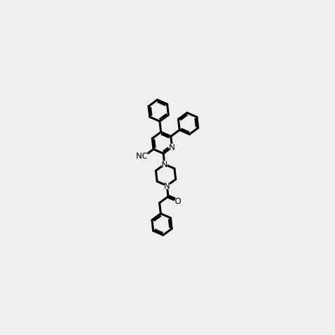 N#Cc1cc(-c2ccccc2)c(-c2ccccc2)nc1N1CCN(C(=O)Cc2ccccc2)CC1